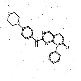 O=c1ccc2cnc(Nc3ccc(N4CCSCC4)cc3)nc2n1-c1ccccc1